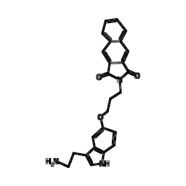 NCCc1c[nH]c2ccc(OCCCN3C(=O)c4cc5ccccc5cc4C3=O)cc12